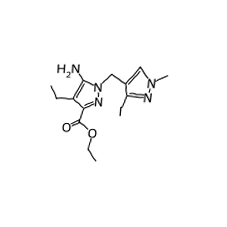 CCOC(=O)c1nn(Cc2cn(C)nc2I)c(N)c1CC